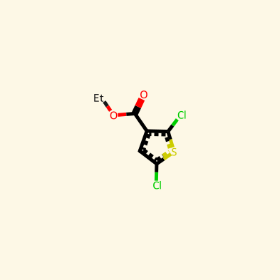 CCOC(=O)c1cc(Cl)sc1Cl